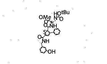 COC(=O)[C@H](CNC(=O)OC(C)(C)C)NC(=O)c1sc(C(=O)NCc2cccc(O)c2)cc1-c1ccccc1